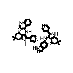 CC1(C)CC(=O)c2c([nH]c(-c3ccncc3)c2Nc2ccc3cn[nH]c3c2)C1.CC1(C)CC(=O)c2c([nH]c(-c3ccncc3)c2Nc2ccnc3ccccc23)C1